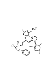 CC(=CC=C1C(c2ccccn2)=NC=C(Cl)C1Cl)C=C1N(c2c(C)cc(C)cc2C)CCN1c1c(C)cc(C)cc1C.[Ru+2]